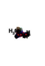 Cc1cc2c(N3CC4CCC(C3)N4C(=O)OC(C)(C)C)nc(OCC3(CN4C[C@H]5CC[C@@H]4C5)CC3)nc2c(F)c1Br